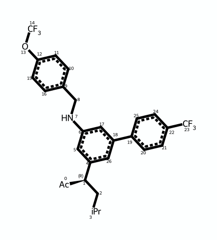 CC(=O)[C@H](CC(C)C)c1cc(NCc2ccc(OC(F)(F)F)cc2)cc(-c2ccc(C(F)(F)F)cc2)c1